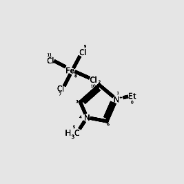 CC[n+]1ccn(C)c1.[Cl][Fe]([Cl])([Cl])[Cl]